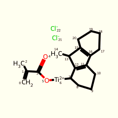 C=C(C)C(=O)[O][Ti+2][CH]1CCCC2=C1C(C)C1=C2CCCC1.[Cl-].[Cl-]